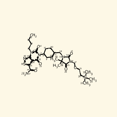 CCCCn1c(=O)n(C2CCC(CN3C(=O)N(COCC[Si](C)(C)C)C(=O)C3(C)C)CC2)c(=O)c2c(C(N)=O)snc21